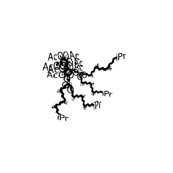 CC(=O)OC[C@H]1O[C@@H]([C@]2(OC(C)=O)[C@H](OC(C)=O)[C@@H](OC(C)=O)[C@@H](OC[C@H](COCC[C@@H](C)CCC[C@@H](C)CCC[C@H](C)CCCC(C)C)OCC[C@@H](C)CCC[C@@H](C)CCC[C@H](C)CCCC(C)C)O[C@@H]2COC[C@H](COCC[C@@H](C)CCC[C@@H](C)CCC[C@H](C)CCCC(C)C)OCC[C@@H](C)CCC[C@@H](C)CCC[C@H](C)CCCC(C)C)[C@H](OC(C)=O)[C@@H](OC(C)=O)[C@@H]1OC(C)=O